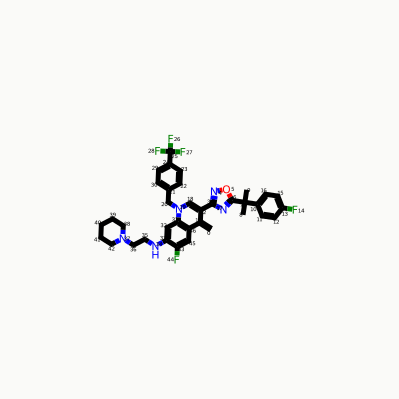 C=C1C(c2noc(C(C)(C)c3ccc(F)cc3)n2)=CN(Cc2ccc(C(F)(F)F)cc2)c2cc(NCCN3CCCCC3)c(F)cc21